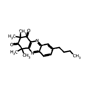 CCCCc1ccc2nc3c(nc2c1)C(=O)C(C)(C)C(=O)C3(C)C